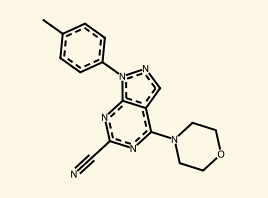 Cc1ccc(-n2ncc3c(N4CCOCC4)nc(C#N)nc32)cc1